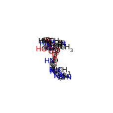 CNc1cc(-c2ccc3cc(C#N)cnn23)ncc1-c1nnc(C2CCC(NC(=O)CCOCCOc3cc(-c4scnc4C)ccc3CNC(=O)[C@@H]3C[C@@H](O)CN3C(=O)[C@@H](NC(=O)C3(F)CC3)C(C)(C)C)CC2)s1